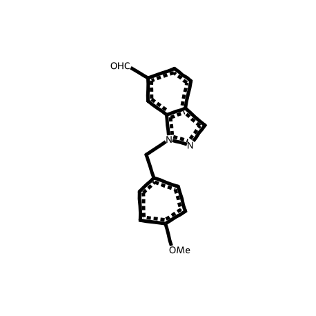 COc1ccc(Cn2ncc3ccc(C=O)cc32)cc1